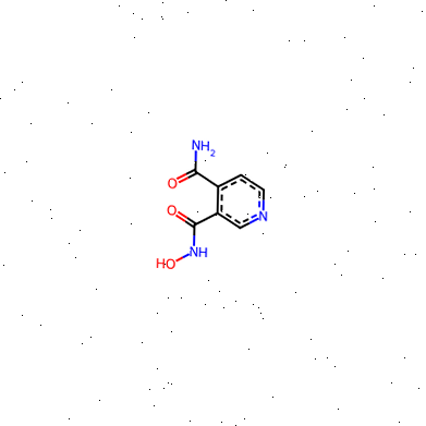 NC(=O)c1ccncc1C(=O)NO